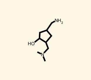 CN(C)CC1CC(CN)CC1O